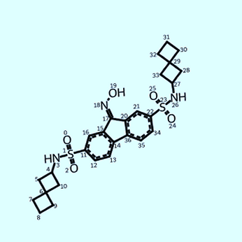 O=S(=O)(NC1CC2(CCC2)C1)c1ccc2c(c1)C(=NO)c1cc(S(=O)(=O)NC3CC4(CCC4)C3)ccc1-2